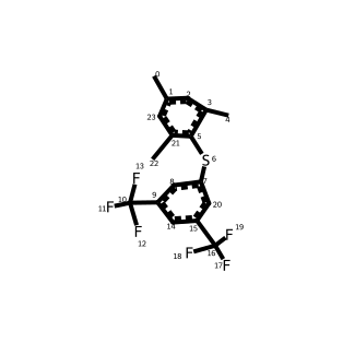 Cc1cc(C)c(Sc2cc(C(F)(F)F)cc(C(F)(F)F)c2)c(C)c1